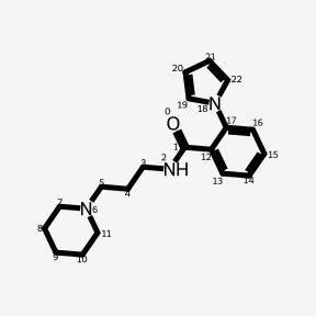 O=C(NCCCN1CCCCC1)c1ccccc1-n1cccc1